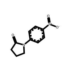 O=C1CCCN1c1ccc([N+](=O)[O-])cc1